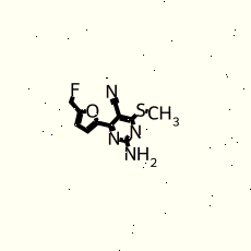 CSc1nc(N)nc(-c2ccc(CF)o2)c1C#N